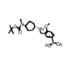 COc1ccc(B(O)O)cc1CN[C@H]1CC[C@H](N(C)C(=O)OC(C)(C)C)CC1